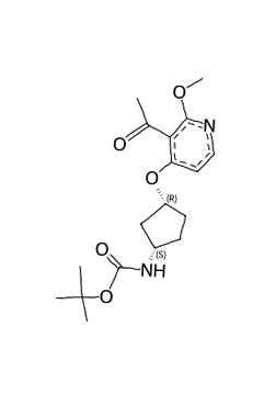 COc1nccc(O[C@@H]2CC[C@H](NC(=O)OC(C)(C)C)C2)c1C(C)=O